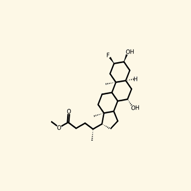 COC(=O)CC[C@@H](C)[C@H]1CCC2C3C(CC[C@@]21C)[C@@]1(C)C[C@@H](F)[C@@H](O)C[C@H]1C[C@@H]3O